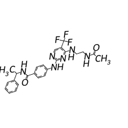 CC(=O)NCCNc1nc(Nc2ccc(C(=O)NC(C)c3ccccc3)cc2)ncc1C(F)(F)F